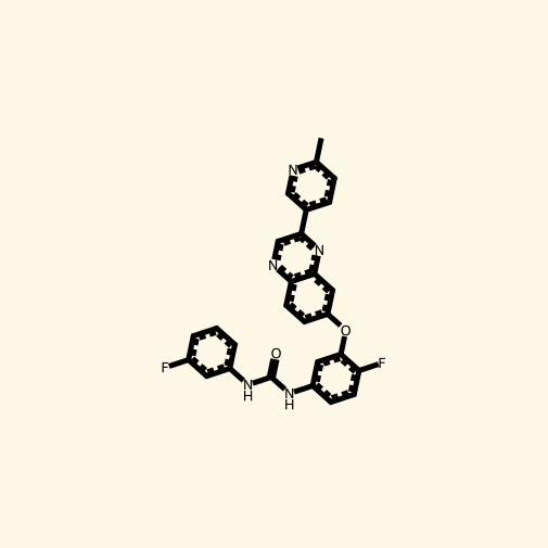 Cc1ccc(-c2cnc3ccc(Oc4cc(NC(=O)Nc5cccc(F)c5)ccc4F)cc3n2)cn1